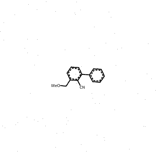 COCc1cccc(-c2ccccc2)c1C#N